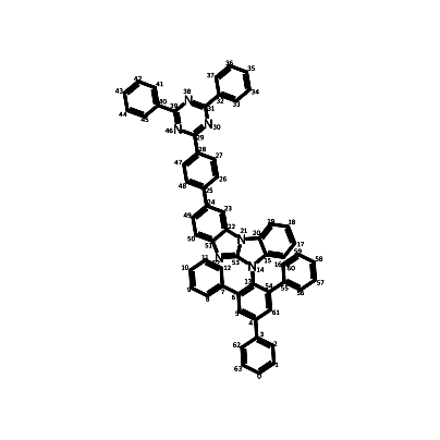 c1ccc(-c2cc(-c3ccccc3)c(-n3c4ccccc4n4c5cc(-c6ccc(-c7nc(-c8ccccc8)nc(-c8ccccc8)n7)cc6)ccc5nc34)c(-c3ccccc3)c2)cc1